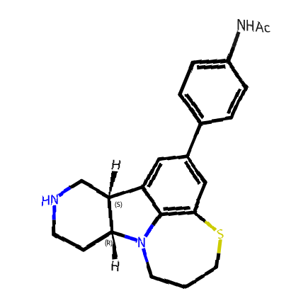 CC(=O)Nc1ccc(-c2cc3c4c(c2)[C@H]2CNCC[C@H]2N4CCCS3)cc1